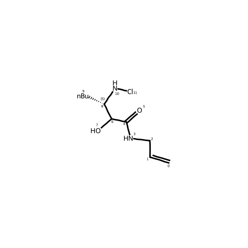 C=CCNC(=O)C(O)[C@H](CCCC)NCl